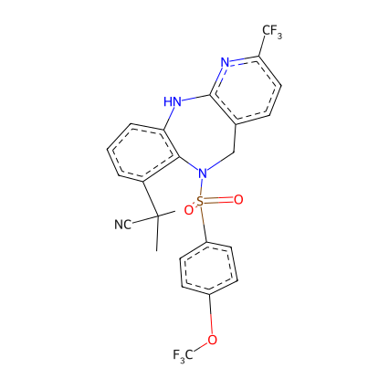 CC(C)(C#N)c1cccc2c1N(S(=O)(=O)c1ccc(OC(F)(F)F)cc1)Cc1ccc(C(F)(F)F)nc1N2